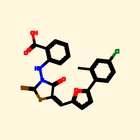 Cc1cc(Cl)ccc1-c1ccc(C=C2SC(=S)N(Nc3ccccc3C(=O)O)C2=O)o1